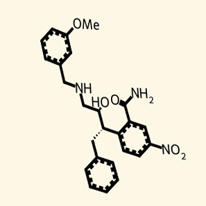 COc1cccc(CNC[C@H](O)[C@@H](Cc2ccccc2)c2ccc([N+](=O)[O-])cc2C(N)=O)c1